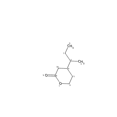 CCC(C)C1CCOC(=O)C1